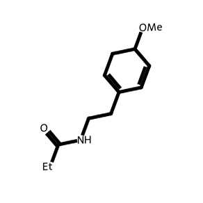 CCC(=O)NCCC1=CCC(OC)C=C1